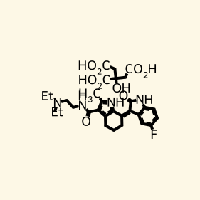 CCN(CC)CCNC(=O)c1c(C)[nH]c2c1CCCC2=C1C(=O)Nc2ccc(F)cc21.O=C(O)CC(O)(CC(=O)O)C(=O)O